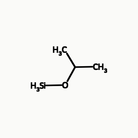 CC(C)O[SiH3]